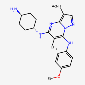 CCOc1ccc(Nc2c(C)c(N[C@H]3CC[C@H](N)CC3)nc3c(NC(C)=O)cnn23)cc1